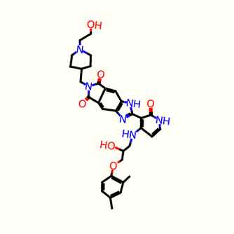 Cc1ccc(OCC(O)CNc2cc[nH]c(=O)c2-c2nc3cc4c(cc3[nH]2)C(=O)N(CC2CCN(CCO)CC2)C4=O)c(C)c1